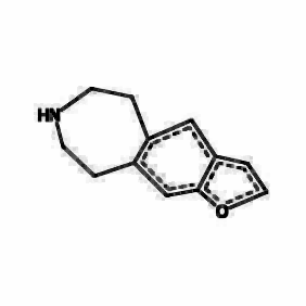 c1cc2cc3c(cc2o1)CCNCC3